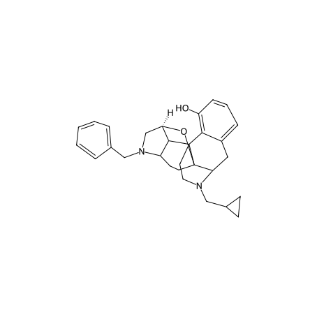 Oc1cccc2c1C13CCN(CC4CC4)C(C2)C12CCC1C3[C@@H](CN1Cc1ccccc1)O2